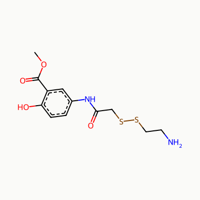 COC(=O)c1cc(NC(=O)CSSCCN)ccc1O